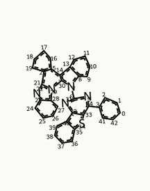 c1ccc(-c2nc(-n3c4ccccc4c4c5ccccc5c5nc6ccccc6n5c43)nc3c2sc2ccccc23)cc1